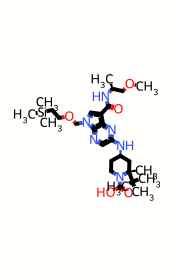 COC[C@H](C)NC(=O)c1cn(COCC[Si](C)(C)C)c2ncc(N[C@@H]3CCN(C(=O)O)[C@@](C)(C(C)(C)C)C3)nc12